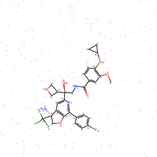 COc1cc(C(=O)NC[C@](O)(c2cc3c(c(-c4ccc(F)cc4)n2)OC[C@@]3(N)C(F)(F)F)C2COC2)ccc1OC1CC1